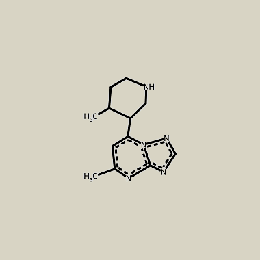 Cc1cc(C2CNCCC2C)n2ncnc2n1